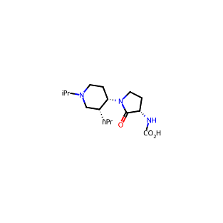 CCC[C@@H]1CN(C(C)C)CC[C@@H]1N1CC[C@H](NC(=O)O)C1=O